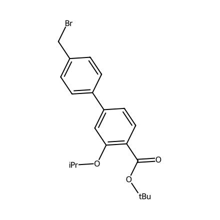 CC(C)Oc1cc(-c2ccc(CBr)cc2)ccc1C(=O)OC(C)(C)C